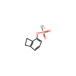 O=S(=O)(Oc1cccc2c1CC2)C(F)(F)F